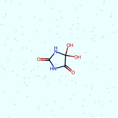 O=C1NC(=O)C(O)(O)N1